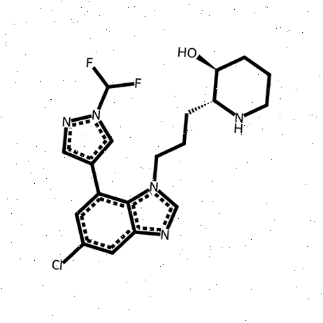 O[C@H]1CCCN[C@@H]1CCCn1cnc2cc(Cl)cc(-c3cnn(C(F)F)c3)c21